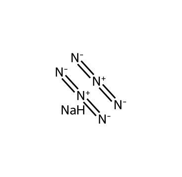 [N-]=[N+]=[N-].[N-]=[N+]=[N-].[NaH]